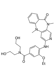 CCOc1cc(C(=O)N(CCO)CCO)ccc1Nc1cc2c(cn1)N(C)C(=O)c1ccccc1N2C